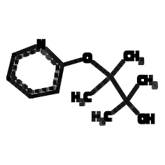 CC(C)(O)C(C)(C)Oc1ccccn1